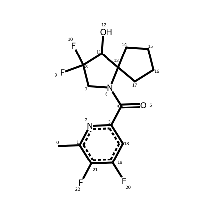 Cc1nc(C(=O)N2CC(F)(F)C(O)C23CCCC3)cc(F)c1F